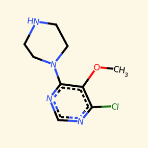 COc1c(Cl)ncnc1N1CCNCC1